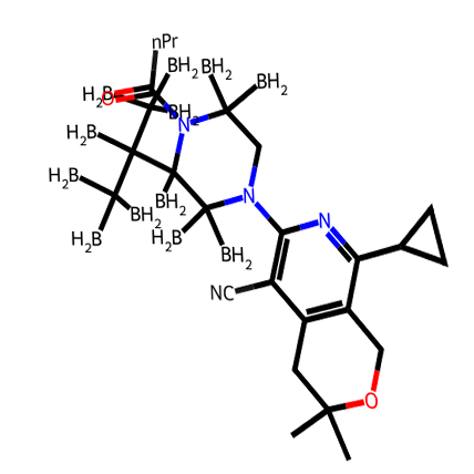 BC1(B)CN(c2nc(C3CC3)c3c(c2C#N)CC(C)(C)OC3)C(B)(B)C(B)(C(B)(C(B)(B)B)C(B)(B)B)N1C(=O)CCC